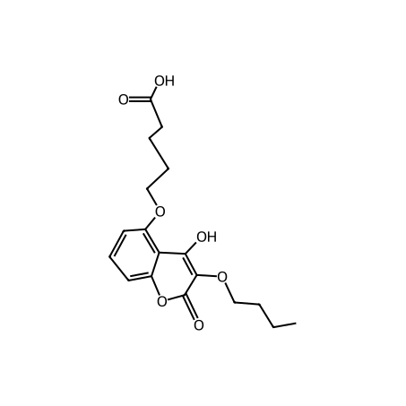 CCCCOc1c(O)c2c(OCCCCC(=O)O)cccc2oc1=O